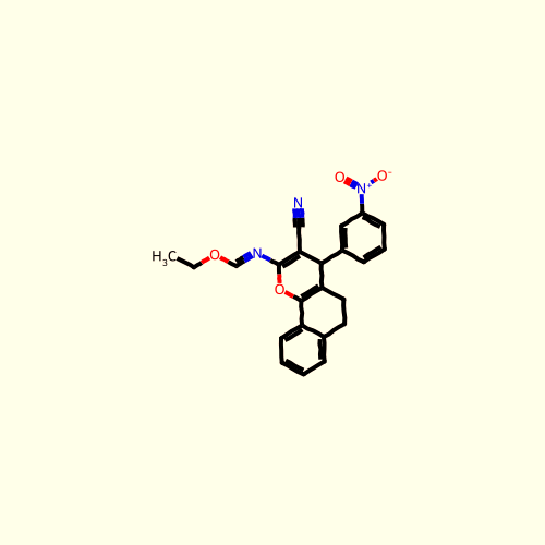 CCOC=NC1=C(C#N)C(c2cccc([N+](=O)[O-])c2)C2=C(O1)c1ccccc1CC2